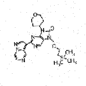 C[Si](C)(C)CCOCn1c(=O)n(C2CCOCC2)c2nc(-c3cnn4ccncc34)ncc21